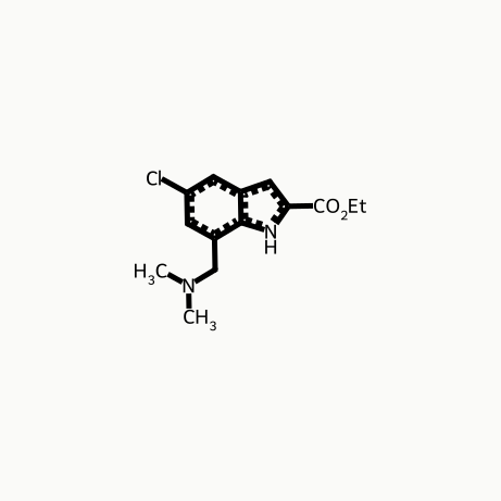 CCOC(=O)c1cc2cc(Cl)cc(CN(C)C)c2[nH]1